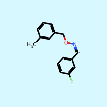 Cc1cccc(CO/N=[C]\c2cccc(F)c2)c1